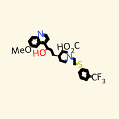 COc1ccc2nccc([C@H](O)CC[C@@H]3CCN(CCSc4cccc(C(F)(F)F)c4)C[C@@H]3C(=O)O)c2c1